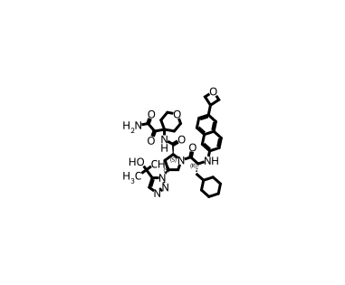 CC(C)(O)c1cnnn1[C@H]1C[C@@H](C(=O)NC2(C(=O)C(N)=O)CCOCC2)N(C(=O)[C@@H](CC2CCCCC2)Nc2ccc3cc(C4COC4)ccc3c2)C1